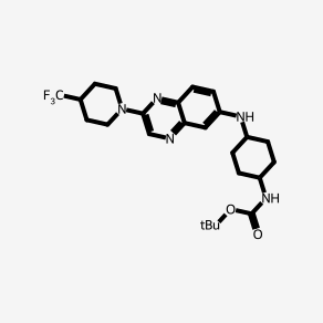 CC(C)(C)OC(=O)NC1CCC(Nc2ccc3nc(N4CCC(C(F)(F)F)CC4)cnc3c2)CC1